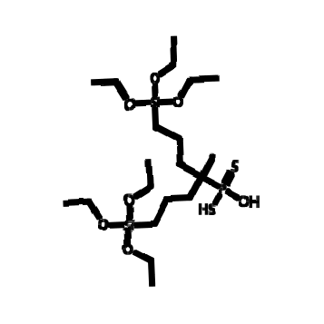 CCO[Si](CCCC(C)(CCC[Si](OCC)(OCC)OCC)P(O)(=S)S)(OCC)OCC